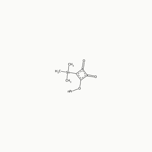 CCCOc1[c]([Sn]([CH3])([CH3])[CH3])c(=O)c1=O